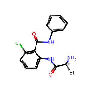 CC[C@H](N)C(=O)Nc1cccc(Cl)c1C(=O)Nc1ccccc1